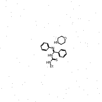 C1COCCN1.CCNC(=S)NC(=Nc1ccccc1)c1ccccc1